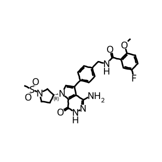 COc1ccc(F)cc1C(=O)NCc1ccc(-c2cn([C@@H]3CCN(S(C)(=O)=O)C3)c3c(=O)[nH]nc(N)c23)cc1